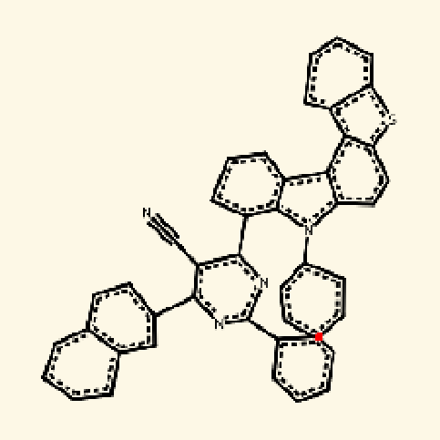 N#Cc1c(-c2ccc3ccccc3c2)nc(-c2ccccc2)nc1-c1cccc2c3c4c(ccc3n(-c3ccccc3)c12)sc1ccccc14